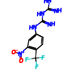 CNC(=N)NC(=N)Nc1ccc(C(F)(F)F)c([N+](=O)[O-])c1